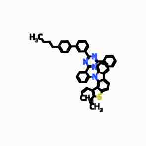 C=Cc1sc2ccc3c4ccccc4n(-c4ccccc4-c4nc(-c5ccccc5)nc(-c5cccc(-c6ccc(CCCC)cc6)c5)n4)c3c2c1/C=C\C